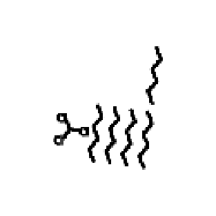 CCCCCC.CCCCCC.CCCCCC.CCCCCC.CCCCCC.ClC(Cl)Cl